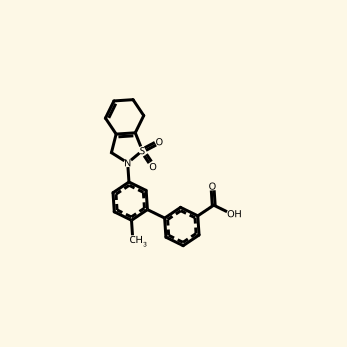 Cc1ccc(N2CC3=C(CCC=C3)S2(=O)=O)cc1-c1cccc(C(=O)O)c1